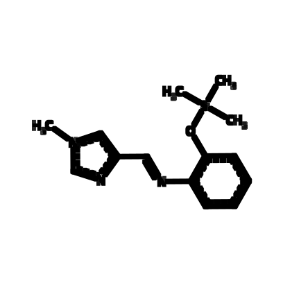 Cn1cnc(C=Nc2ccccc2O[Si](C)(C)C)c1